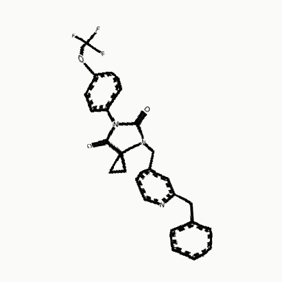 O=C1N(c2ccc(OC(F)(F)F)cc2)C(=O)C2(CC2)N1Cc1ccnc(Cc2ccccc2)c1